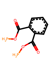 O=C(OP)c1ccccc1C(=O)OP